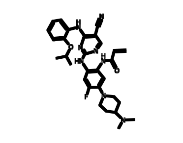 C=CC(=O)Nc1cc(N2CCC(N(C)C)CC2)c(F)cc1Nc1ncc(C#N)c(Nc2ccccc2OC(C)C)n1